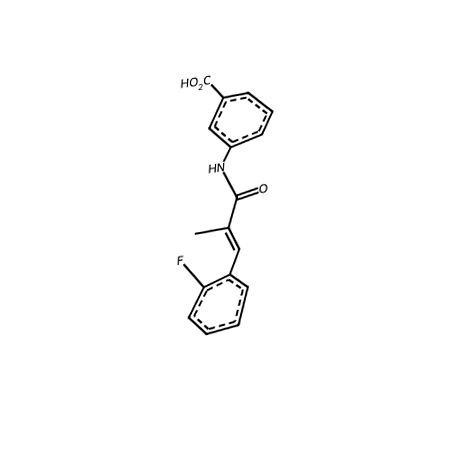 CC(=Cc1ccccc1F)C(=O)Nc1cccc(C(=O)O)c1